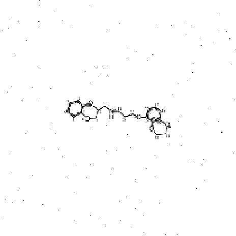 c1ccc2c(c1)OCC(CNCCCOc1cccc3c1OCCO3)O2